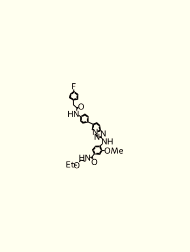 CCOCCNC(=O)c1ccc(Nc2nc3ccc(-c4ccc(NC(=O)Cc5ccc(F)cc5)cc4)cn3n2)c(OC)c1